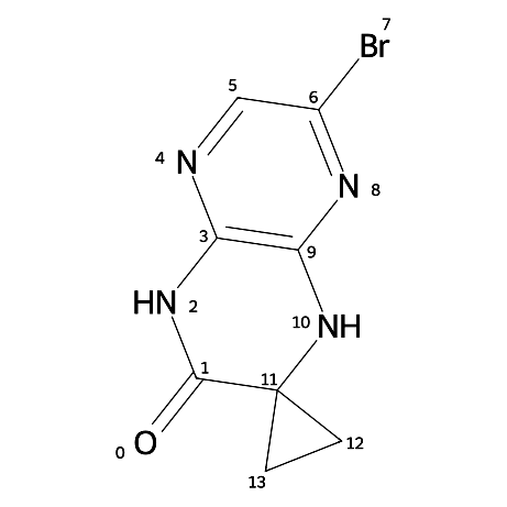 O=C1Nc2ncc(Br)nc2NC12CC2